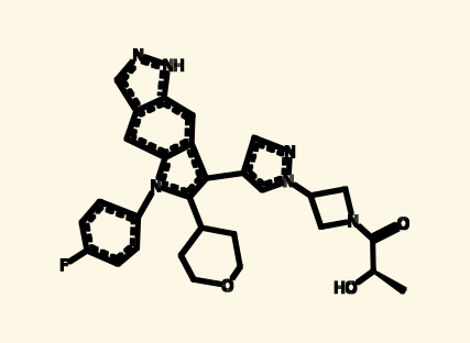 C[C@@H](O)C(=O)N1CC(n2cc(-c3c(C4CCOCC4)n(-c4ccc(F)cc4)c4cc5cn[nH]c5cc34)cn2)C1